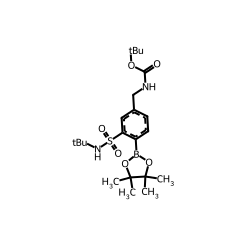 CC(C)(C)NS(=O)(=O)c1cc(CNC(=O)OC(C)(C)C)ccc1B1OC(C)(C)C(C)(C)O1